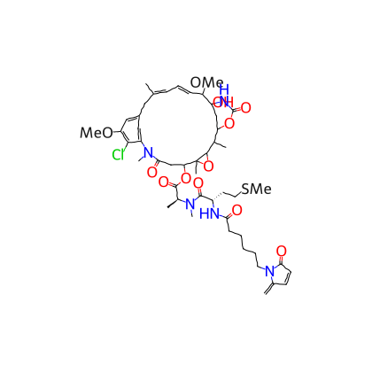 C=C1C=CC(=O)N1CCCCCC(=O)N[C@@H](CCSC)C(=O)N(C)[C@@H](C)C(=O)OC1CC(=O)N(C)c2cc(cc(OC)c2Cl)C/C(C)=C/C=C/C(OC)C2(O)CC(OC(=O)N2)C(C)C2OC12C